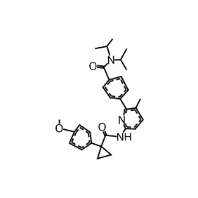 COc1ccc(C2(C(=O)Nc3ccc(C)c(-c4ccc(C(=O)N(C(C)C)C(C)C)cc4)n3)CC2)cc1